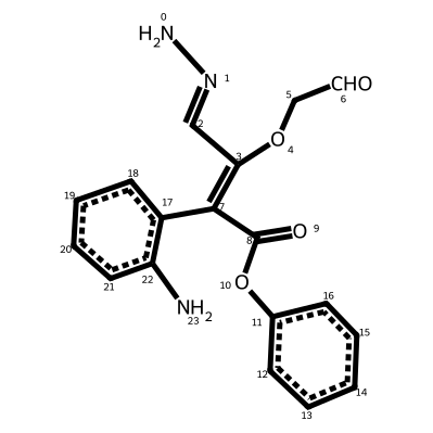 NN=CC(OCC=O)=C(C(=O)Oc1ccccc1)c1ccccc1N